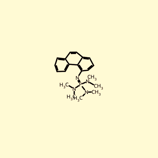 CN(C)P(=Nc1cccc2ccc3ccccc3c12)(N(C)C)N(C)C